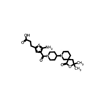 CC1(C)CC2(CCCN(C3CCN(C(=O)c4cc(CCC(=O)O)sc4N)CC3)C2)C(=O)O1